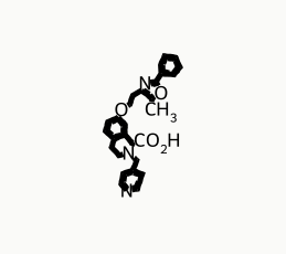 Cc1oc(-c2ccccc2)nc1CCOc1ccc2c(c1)C(C(=O)O)N(Cc1ccncc1)CC2